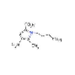 CCCCCCCCCCCCn1c(C(=O)O)cc([N+](=O)[O-])c1C